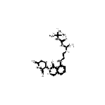 CC(OCCNc1cccc2cnn(C3CCC(=O)NC3=O)c(=O)c12)OC(=O)NC(C)(C)C